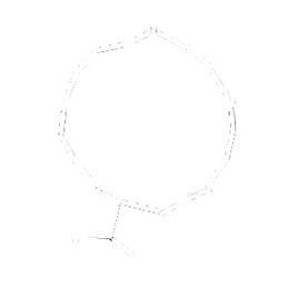 O=C(O)c1ccnccnccnccocccn1